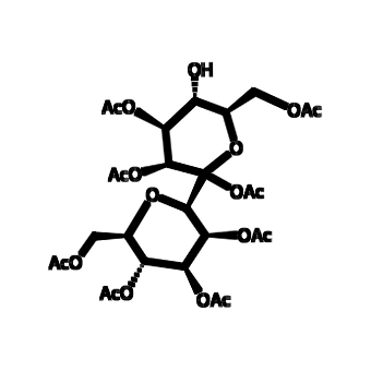 CC(=O)OC[C@H]1OC(OC(C)=O)([C@@H]2O[C@H](COC(C)=O)[C@@H](OC(C)=O)[C@H](OC(C)=O)[C@@H]2OC(C)=O)[C@@H](OC(C)=O)[C@@H](OC(C)=O)[C@@H]1O